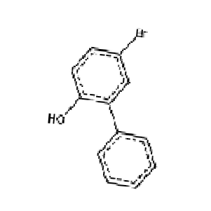 Oc1ccc(Br)cc1-c1ccccc1